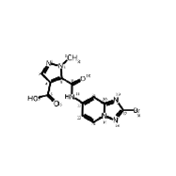 Cn1ncc(C(=O)O)c1C(=O)Nc1ccn2nc(Br)nc2c1